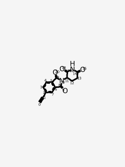 C#Cc1ccc2c(c1)C(=O)N(C1CCC(=O)NC1=O)C2=O